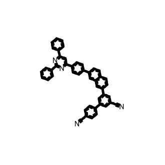 N#Cc1ccc(-c2cc(C#N)cc(-c3ccc4ccc(-c5ccc(-c6cc(-c7ccccc7)nc(-c7ccccc7)n6)cc5)cc4c3)c2)cc1